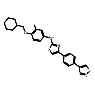 Fc1cc(Nc2nc(-c3ccc(-c4csnn4)cc3)cs2)ccc1OCC1CCCCC1